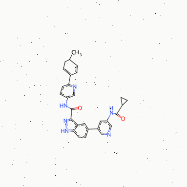 CC1C=CC(c2ccc(NC(=O)c3n[nH]c4ccc(-c5cncc(NC(=O)C6CC6)c5)cc34)cn2)=CC1